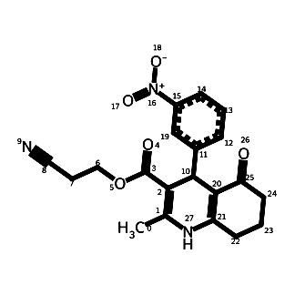 CC1=C(C(=O)OCCC#N)C(c2cccc([N+](=O)[O-])c2)C2=C(CCCC2=O)N1